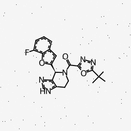 CC(C)(C)c1nnc(C(=O)N2CCc3[nH]cnc3[C@H]2c2cc3cccc(F)c3o2)o1